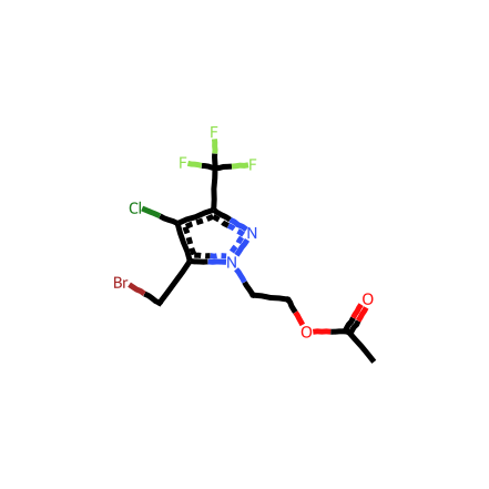 CC(=O)OCCn1nc(C(F)(F)F)c(Cl)c1CBr